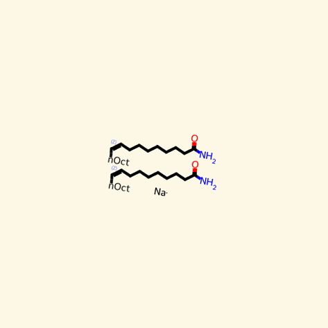 CCCCCCCC/C=C\CCCCCCCC(N)=O.CCCCCCCC/C=C\CCCCCCCC(N)=O.[Na]